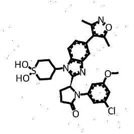 COc1cc(Cl)cc(N2C(=O)CC[C@H]2c2nc3cc(-c4c(C)noc4C)ccc3n2C2CCS(O)(O)CC2)c1